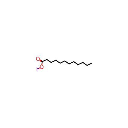 CCCCCCCCCCCC(=O)OI